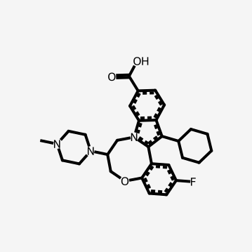 CN1CCN(C2COc3ccc(F)cc3-c3c(C4CCCCC4)c4ccc(C(=O)O)cc4n3C2)CC1